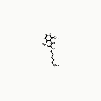 CNCCCCCNC(=S)Nc1c(C)cccc1C